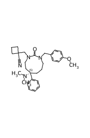 COc1ccc(CN2CCC[C@](c3ccccc3)(N(C)C)CCN(CC3(C#N)CCC3)C2=O)cc1